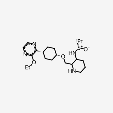 CCOc1nccnc1[C@H]1CC[C@@H](OCC2NCCCC2N[S+]([O-])C(C)C)CC1